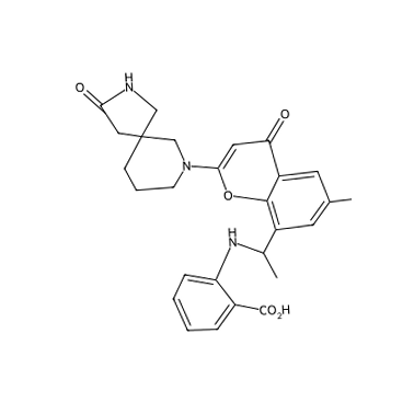 Cc1cc(C(C)Nc2ccccc2C(=O)O)c2oc(N3CCCC4(CNC(=O)C4)C3)cc(=O)c2c1